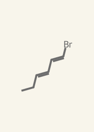 CC/C=C/C=C/Br